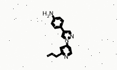 CCCc1cc(-n2cc(-c3ccc(N)cc3)cn2)ccn1